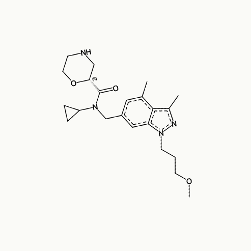 COCCCn1nc(C)c2c(C)cc(CN(C(=O)[C@H]3CNCCO3)C3CC3)cc21